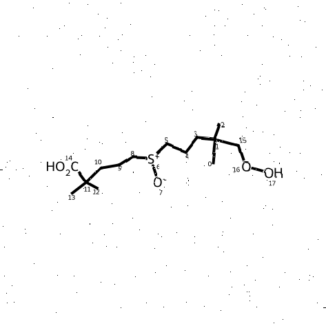 CC(C)(CCC[S+]([O-])CCCC(C)(C)C(=O)O)COO